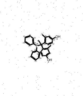 Cc1cc(O)ccc1C(C)(c1ccc(O)cc1C)P(c1ccccc1)c1ccccc1